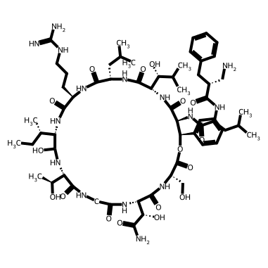 CC[C@H](C)[C@@H]1NC(=O)[C@@H](CCCNC(=N)N)NC(=O)[C@H](CC(C)C)NC(=O)[C@H]([C@H](O)C(C)C)NC(=O)[C@@H](NC(=O)[C@H](CC(C)C)NC(=O)[C@@H](CN)Cc2ccccc2)[C@@H](c2ccccc2)OC(=O)[C@H](CO)NC(=O)[C@H]([C@H](O)C(N)=O)NC(=O)CNC(=O)[C@H]([C@H](C)O)NC1O